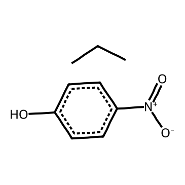 CCC.O=[N+]([O-])c1ccc(O)cc1